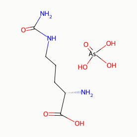 NC(=O)NCCC[C@H](N)C(=O)O.O=[As](O)(O)O